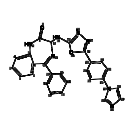 O=C1Nc2ccccc2C(c2ccccc2)=NC1Nc1nnc(-c2ccc(-n3ccnc3)cc2)o1